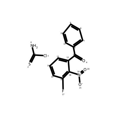 NC(=S)Cl.O=C(c1ccccc1)c1cccc(F)c1[N+](=O)[O-]